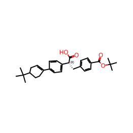 CC(C)(C)OC(=O)c1ccc(C[C@@H](C(=O)O)c2ccc(C3=CCC(C(C)(C)C)CC3)cc2)cc1